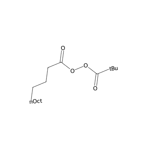 CCCCCCCCCCCC(=O)OOC(=O)C(C)(C)C